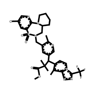 COC(=O)C(C)(C)C(c1cnc(C)c(CN2CC3CCCCN3c3ncc(Cl)cc3S2(=O)=O)c1)c1ccn2c(C(F)(F)F)nnc2c1C